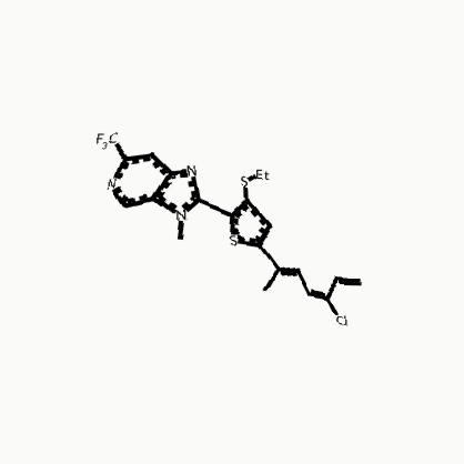 C=C/C(Cl)=C\C=C(/C)c1cc(SCC)c(-c2nc3cc(C(F)(F)F)ncc3n2C)s1